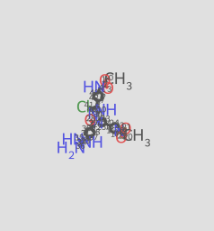 COC(=O)Nc1ccc(-c2[nH]c([C@@H]3CC(C4CCN(S(C)(=O)=O)CC4)CN3C(=O)c3ccc(NC(=N)N)cc3)nc2Cl)cc1